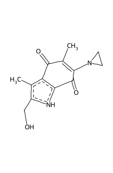 CC1=C(N2CC2)C(=O)c2[nH]c(CO)c(C)c2C1=O